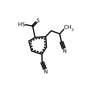 CC(C#N)Cc1cc(C#N)ccc1C(=S)S